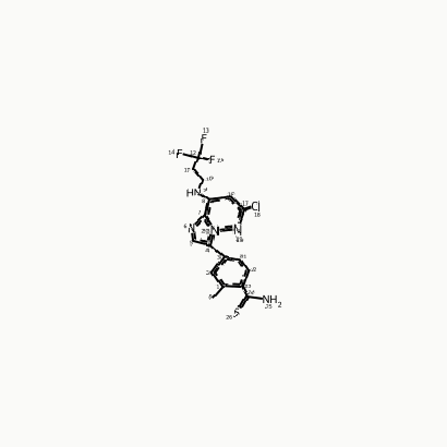 Cc1cc(-c2cnc3c(NCCC(F)(F)F)cc(Cl)nn23)ccc1C(N)=S